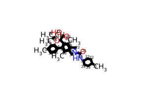 Cc1ccc(-c2c(C)c3c(c(C)c2[C@H](OC(C)(C)C)C(=O)O)CN(C(=O)NC2CCC(C)CC2)C3)cc1